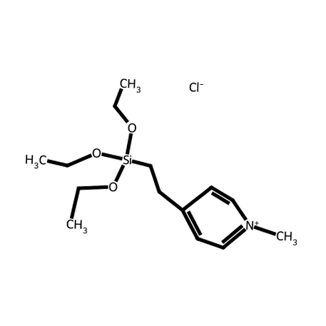 CCO[Si](CCc1cc[n+](C)cc1)(OCC)OCC.[Cl-]